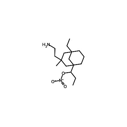 CCC(O[N+](=O)[O-])C12CCCC(CC)(CC(C)(CCN)C1)C2